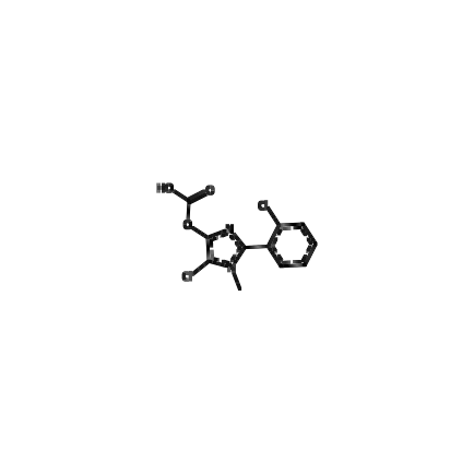 Cn1c(-c2ccccc2Cl)nc(OC(=O)O)c1Cl